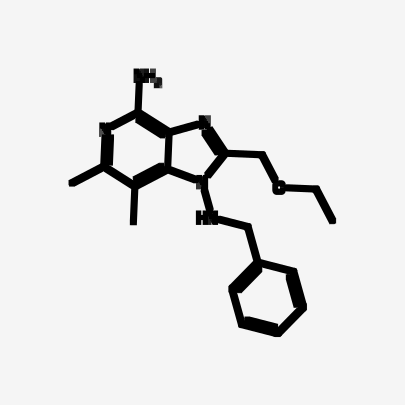 CCOCc1nc2c(N)nc(C)c(C)c2n1NCc1ccccc1